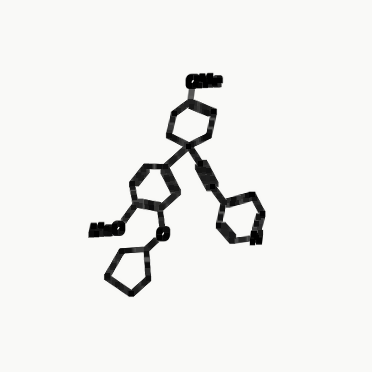 COC1=CCC(C#Cc2ccncc2)(c2ccc(OC)c(OC3CCCC3)c2)CC1